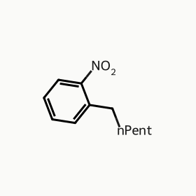 CCCCCCc1ccccc1[N+](=O)[O-]